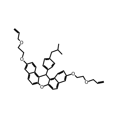 C=CCOCCOc1ccc2c3c(ccc2c1)Oc1ccc2cc(OCCOCC=C)ccc2c1C3c1ccc(CC(C)C)cc1